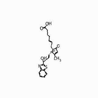 CC1=CC(=O)[C@H](CC=CCCCC(=O)O)[C@H]1C=CC(O)c1nc2ccccc2s1